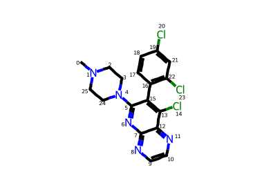 CN1CCN(c2nc3nccnc3c(Cl)c2-c2ccc(Cl)cc2Cl)CC1